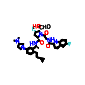 C[C@H](NC(=O)[C@@H]1C[C@@H](F)CN1C(=O)CNC(=O)c1ccc2cc(F)ccc2n1)c1cc(N2CC[C@@H](N(C)C)C2)ccc1/C=C/C1CC1.O=CO